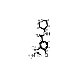 NS(=O)(=O)c1cc(C(=O)NC2CCNCC2)ccc1Cl